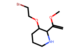 C=C(OC)C1NCCCC1OCCBr